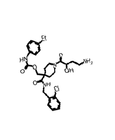 CCc1ccc(NC(=O)OCC2(C(=O)NCc3ccccc3Cl)CCN(C(=O)C(O)CCN)CC2)cc1